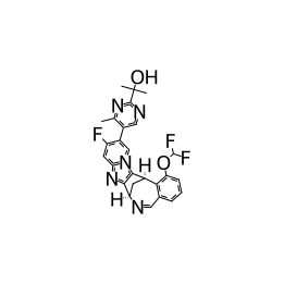 Cc1nc(C(C)(C)O)ncc1-c1cn2c3c(nc2cc1F)[C@H]1C[C@@H]3c2c(cccc2OC(F)F)C=N1